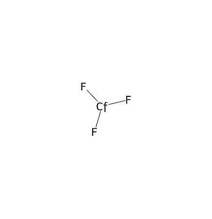 [F][Cf]([F])[F]